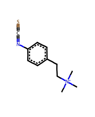 C[N+](C)(C)CCc1ccc(N=C=S)cc1